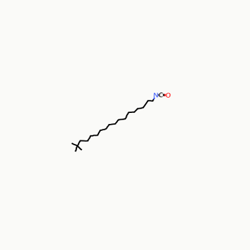 CC(C)(C)CCCCCCCCCCCCCCCCN=C=O